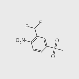 CS(=O)(=O)c1ccc([N+](=O)[O-])c(C(F)F)c1